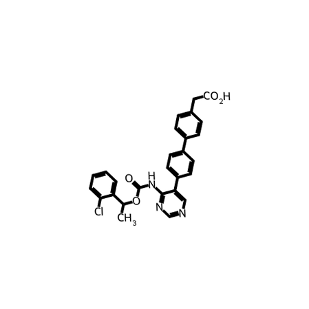 CC(OC(=O)Nc1ncncc1-c1ccc(-c2ccc(CC(=O)O)cc2)cc1)c1ccccc1Cl